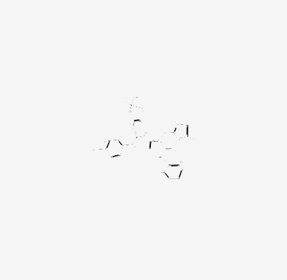 Cc1cnc2n1CC(Cc1ccccc1)N(C(=O)CC(Cc1ccc(F)c(F)c1)NC(=O)OC(C)(C)C)C2